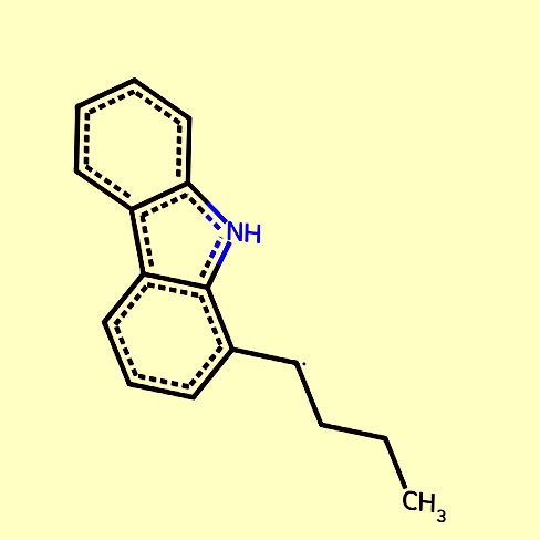 CCC[CH]c1cccc2c1[nH]c1ccccc12